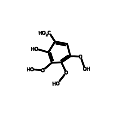 O=C(O)c1cc(OO)c(OO)c(OO)c1O